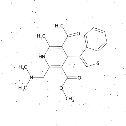 COC(=O)C1=C(CN(C)C)NC(C)=C(C(C)=O)C1c1csc2ccccc12